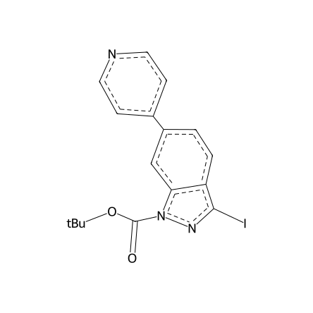 CC(C)(C)OC(=O)n1nc(I)c2ccc(-c3ccncc3)cc21